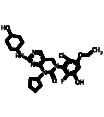 CCOc1cc(O)c(F)c(N2Cc3cnc(NC4CCC(O)CC4)nc3N(C3CCCC3)C2=O)c1Cl